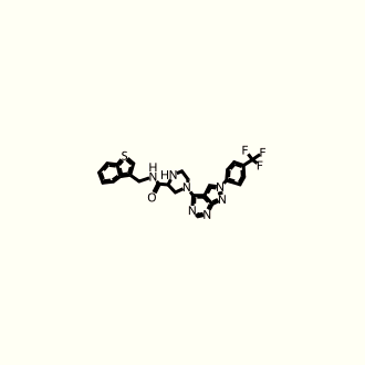 O=C(NCc1csc2ccccc12)C1CN(c2ncnc3nn(-c4ccc(C(F)(F)F)cc4)cc23)CCN1